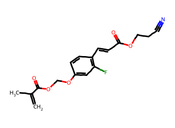 C=C(C)C(=O)OCOc1ccc(/C=C/C(=O)OCCC#N)c(F)c1